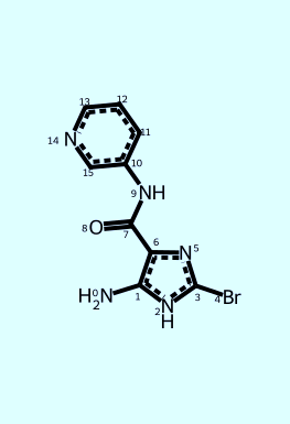 Nc1[nH]c(Br)nc1C(=O)Nc1cccnc1